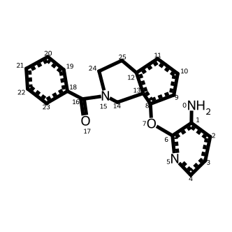 Nc1cccnc1Oc1cccc2c1CN(C(=O)c1ccccc1)CC2